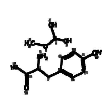 COB(O)O.NC(Cc1ccc(O)cc1)C(=O)O